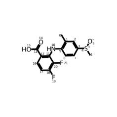 Cc1cc([S+](C)[O-])ccc1Nc1c(C(=O)O)ccc(F)c1F